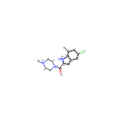 Cc1cc(Cl)cc2cc(C(=O)N3CCN(C)CC3)[nH]c12